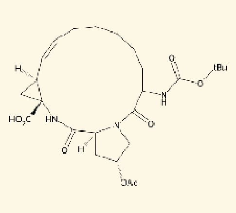 CC(=O)O[C@@H]1C[C@H]2C(=O)N[C@]3(C(=O)O)C[C@H]3/C=C\CCCCCC(NC(=O)OC(C)(C)C)C(=O)N2C1